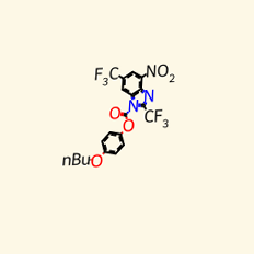 CCCCOc1ccc(OC(=O)n2c(C(F)(F)F)nc3c([N+](=O)[O-])cc(C(F)(F)F)cc32)cc1